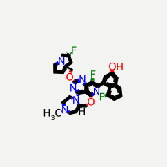 CN1CC[C@H]2COc3nc(-c4cc(O)cc5cccc(F)c45)c(F)c4nc(OC[C@@]56CCCN5C[C@H](F)C6)nc(c34)N2CC1